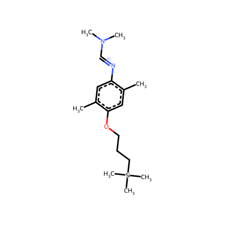 Cc1cc(OCCC[Si](C)(C)C)c(C)cc1/N=C/N(C)C